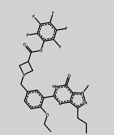 CCCc1nn(C)c2c(=O)[nH]c(-c3cc(CN4CC(C(=O)Oc5c(F)c(F)c(F)c(F)c5F)C4)ccc3OCC)nc12